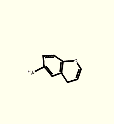 Bc1ccc2c(c1)CC=CO2